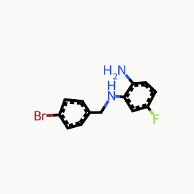 Nc1ccc(F)cc1NCc1ccc(Br)cc1